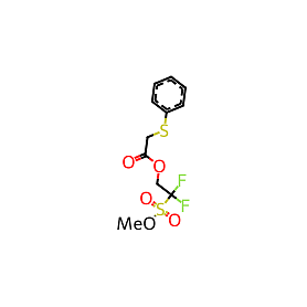 COS(=O)(=O)C(F)(F)COC(=O)CSc1ccccc1